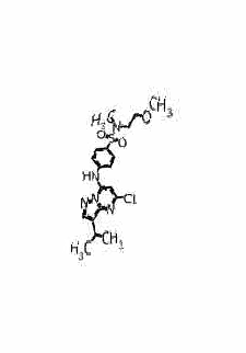 COCCN(C)S(=O)(=O)c1ccc(Nc2cc(Cl)nc3c(C(C)C)cnn23)cc1